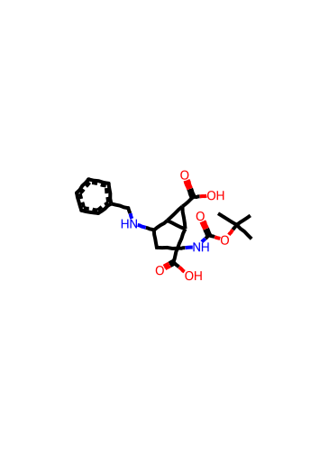 CC(C)(C)OC(=O)NC1(C(=O)O)CC(NCc2ccccc2)C2C(C(=O)O)C21